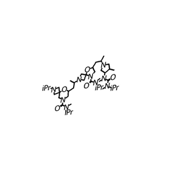 CC1CN(C(C)CC2CN(C(=O)N(C)C(C)C)C3(CN(C(C)CC4CN(C(=O)N(C)C(C)C)CC5(CN(C(C)C)C5)O4)C3)O2)CC1N(C)C(=O)N(C)C(C)C